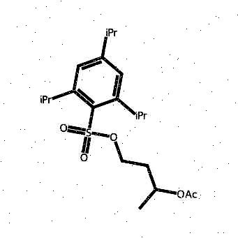 CC(=O)OC(C)CCOS(=O)(=O)c1c(C(C)C)cc(C(C)C)cc1C(C)C